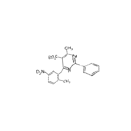 CCOC(=O)c1c(C)nc(-c2ccccc2)nc1-c1cc([N+](=O)[O-])ccc1C